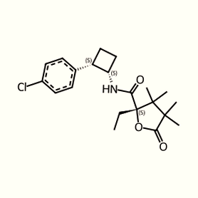 CC[C@]1(C(=O)N[C@H]2CC[C@H]2c2ccc(Cl)cc2)OC(=O)C(C)(C)C1(C)C